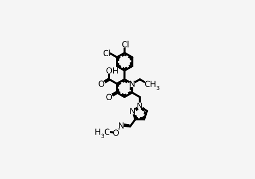 CCn1c(Cn2ccc(C=NOC)n2)cc(=O)c(C(=O)O)c1-c1ccc(Cl)c(Cl)c1